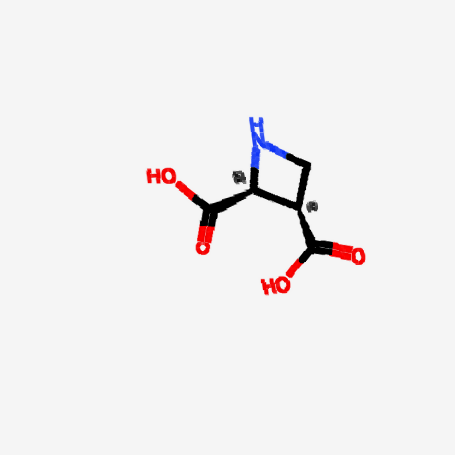 O=C(O)[C@H]1NC[C@H]1C(=O)O